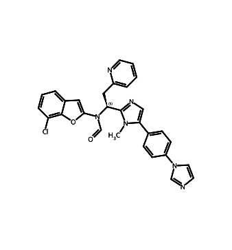 Cn1c(-c2ccc(-n3ccnc3)cc2)cnc1[C@H](Cc1ccccn1)N(C=O)c1cc2cccc(Cl)c2o1